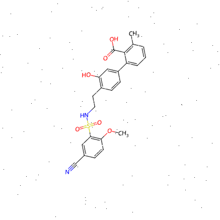 COc1ccc(C#N)cc1S(=O)(=O)NCCc1ccc(-c2cccc(C)c2C(=O)O)cc1O